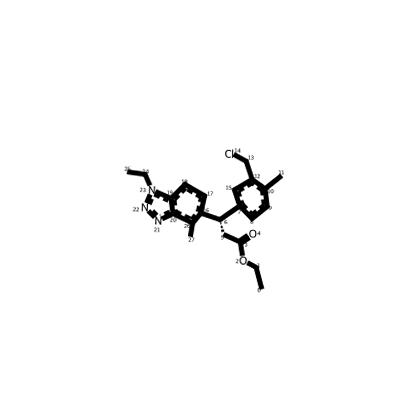 CCOC(=O)C[C@@H](c1ccc(C)c(CCl)c1)c1ccc2c(nnn2CC)c1C